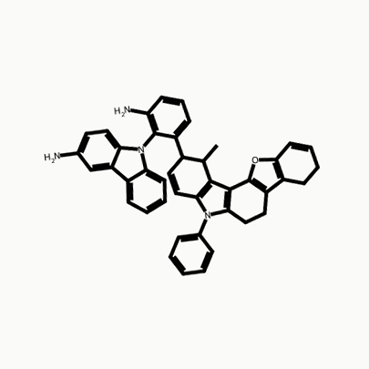 CC1c2c3c(n(-c4ccccc4)c2C=CC1c1cccc(N)c1-n1c2ccccc2c2cc(N)ccc21)CCc1c-3oc2c1CCC=C2